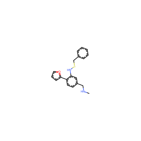 CNCc1ccc(-c2ccco2)c(NSCc2ccccc2)c1